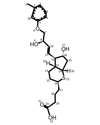 Cc1cccc(OC[C@H](O)/C=C/[C@@H]2[C@H]3CC[C@H](CCCC(=O)O)S[C@H]3C[C@H]2O)c1